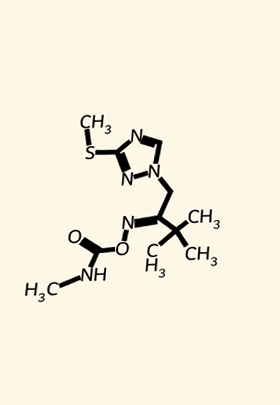 CNC(=O)ON=C(Cn1cnc(SC)n1)C(C)(C)C